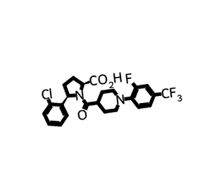 O=C(O)[C@@H]1CC[C@H](c2ccccc2Cl)N1C(=O)C1CCN(c2ccc(C(F)(F)F)cc2F)CC1